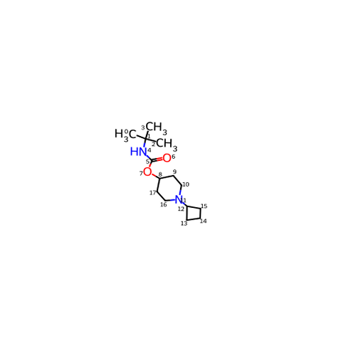 CC(C)(C)NC(=O)OC1CCN(C2CCC2)CC1